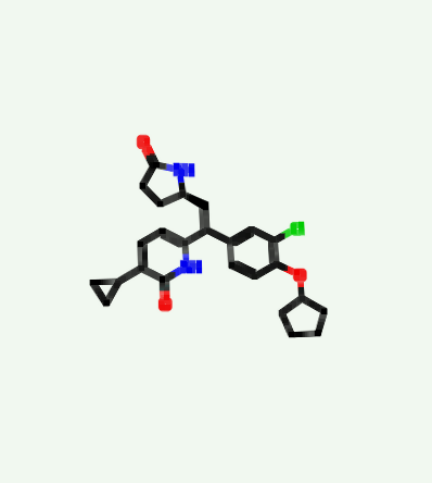 O=C1CC[C@H](C=C(c2ccc(OC3CCCC3)c(Cl)c2)c2ccc(C3CC3)c(=O)[nH]2)N1